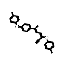 C#C/C(=C\C=C(/C)c1ccc(Oc2ccc(C)cc2)cc1)Oc1ccc(C)cc1